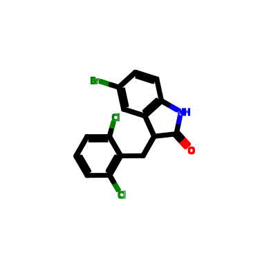 O=C1Nc2ccc(Br)cc2C1Cc1c(Cl)cccc1Cl